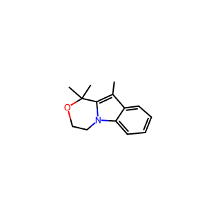 Cc1c2n(c3ccccc13)CCOC2(C)C